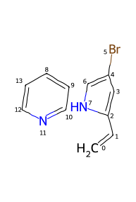 C=Cc1cc(Br)c[nH]1.c1ccncc1